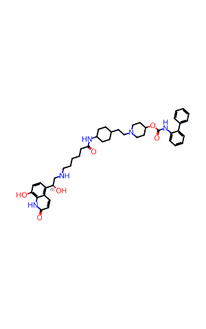 O=C(CCCCCNC[C@@H](O)c1ccc(O)c2[nH]c(=O)ccc12)NC1CCC(CCN2CCC(OC(=O)Nc3ccccc3-c3ccccc3)CC2)CC1